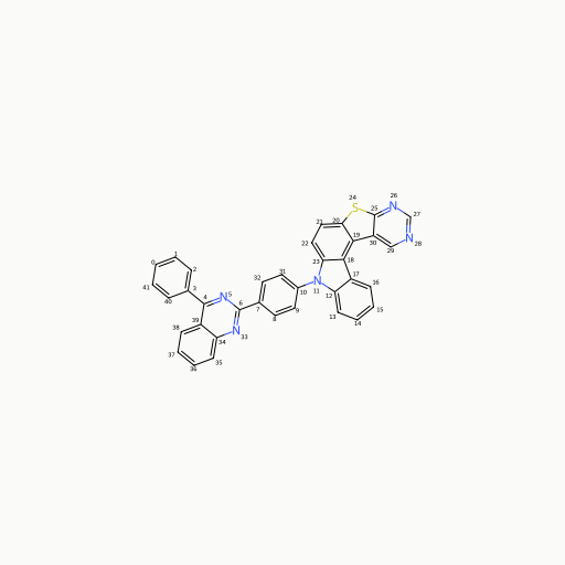 c1ccc(-c2nc(-c3ccc(-n4c5ccccc5c5c6c(ccc54)sc4ncncc46)cc3)nc3ccccc23)cc1